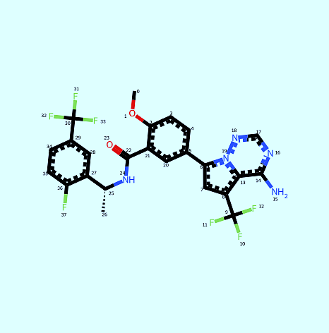 COc1ccc(-c2cc(C(F)(F)F)c3c(N)ncnn23)cc1C(=O)N[C@H](C)c1cc(C(F)(F)F)ccc1F